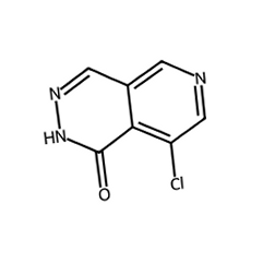 O=c1[nH]ncc2cncc(Cl)c12